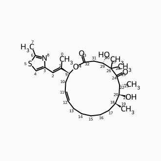 C/C(=C\c1csc(C)n1)[C@@H]1C/C=C\CCCCC[C@H](C)[C@H](O)[C@@H](C)C(=O)C(C)(C)[C@@H](O)CC(=O)O1